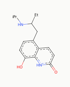 CCC(Cc1ccc(O)c2[nH]c(=O)ccc12)NC(C)C